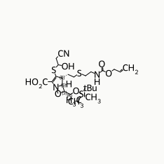 C=CCOC(=O)NCCSCC[C@H]1C(SC(O)CC#N)=C(C(=O)O)N2O[C@H]([C@@H](C)O[Si](C)(C)C(C)(C)C)[C@H]12